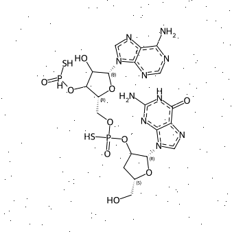 Nc1nc2c(ncn2[C@@H]2O[C@H](CO)CC2OP(=O)(S)OC[C@H]2O[C@@H](n3cnc4c(N)ncnc43)C(O)C2O[PH](=O)S)c(=O)[nH]1